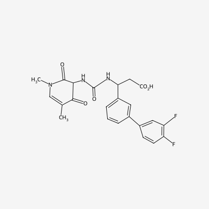 CC1=CN(C)C(=O)C(NC(=O)NC(CC(=O)O)c2cccc(-c3ccc(F)c(F)c3)c2)C1=O